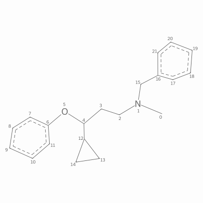 CN(CCC(Oc1ccccc1)C1CC1)Cc1ccccc1